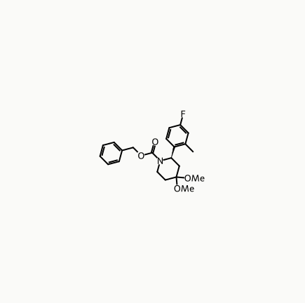 COC1(OC)CCN(C(=O)OCc2ccccc2)[C@@H](c2ccc(F)cc2C)C1